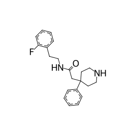 O=C(CC1(c2ccccc2)CCNCC1)NCCc1ccccc1F